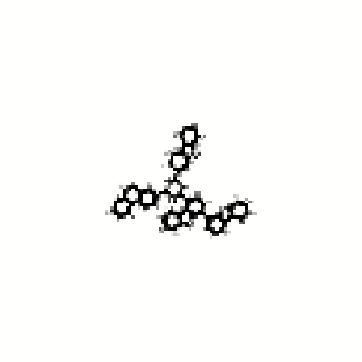 C1=C(c2nc(-c3ccc4c(ccc5ccccc54)c3)nc(-c3ccc(-c4cccc5c4oc4ccccc45)c4oc5ccccc5c34)n2)CCc2c1oc1ccccc21